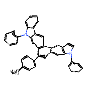 COc1ccc(-c2cc3cc4c(ccn4-c4ccccc4)cc3c3cc4c5ccccc5n(-c5ccccc5)c4cc23)cc1